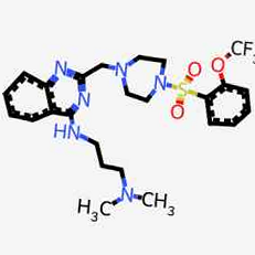 CN(C)CCCNc1nc(CN2CCN(S(=O)(=O)c3ccccc3OC(F)(F)F)CC2)nc2ccccc12